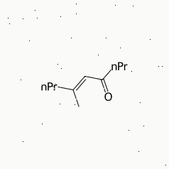 CCCC(=O)C=C(C)CCC